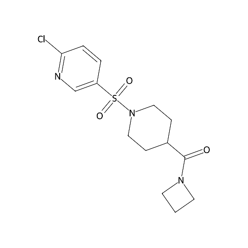 O=C(C1CCN(S(=O)(=O)c2ccc(Cl)nc2)CC1)N1CCC1